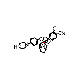 N#Cc1ccc(OC2CC3CCC(C2)N3C(=O)Oc2ccc(N3CCNCC3)cc2)cc1Cl